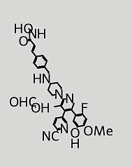 COc1cc(F)c(-c2cnc(N3CCC(NCc4ccc(/C=C/C(=O)NO)cc4)CC3)c(C)c2-c2ccc(C#N)nc2)cc1O.O=CO